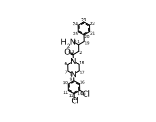 NC(CC(=O)N1CCN(c2ccc(Cl)c(Cl)c2)CC1)Cc1ccccc1